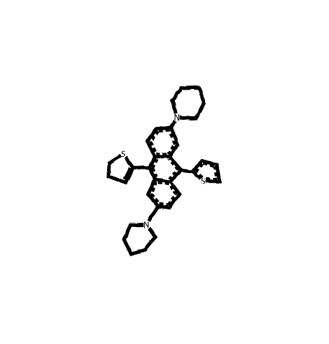 C1=C(c2c3cc(N4CCCCC4)ccc3c(-c3cccs3)c3cc(N4CCCCC4)ccc23)SCC1